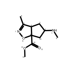 CNC1CC2C(C)=NOC2(C(=O)OC)C1